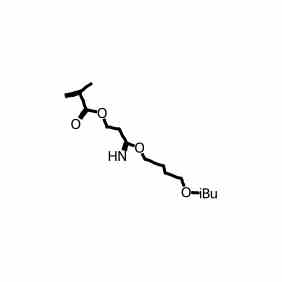 C=C(C)C(=O)OCCC(=N)OCCCCOC(C)CC